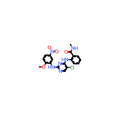 CNC(=O)c1ccccc1Nc1nc(Nc2cc([N+](=O)[O-])ccc2OC)ncc1Cl